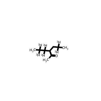 [2H]C([2H])(C)CC(C(C)=O)C([2H])([2H])C([2H])([2H])C